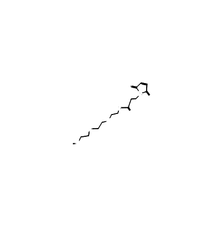 CCOCCOCCOCCNC(=O)CCN1C(=O)C=CC1=O